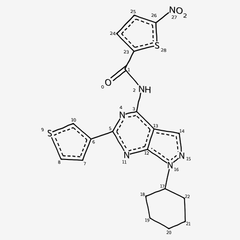 O=C(Nc1nc(-c2ccsc2)nc2c1cnn2C1CCCCC1)c1ccc([N+](=O)[O-])s1